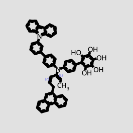 C/C=C(\C=C/Cc1cc2ccccc2c2ccccc12)N(c1ccc(-c2cccc(-n3c4ccccc4c4ccccc43)c2)cc1)c1ccc(-c2c(O)c(O)c(O)c(O)c2O)cc1